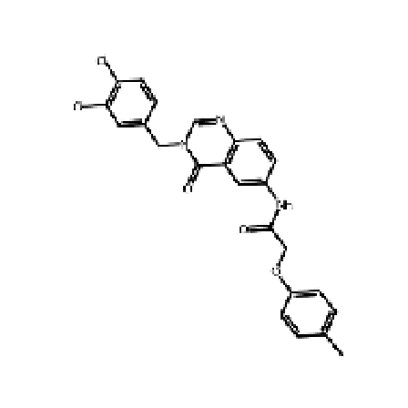 Cc1ccc(OCC(=O)Nc2ccc3ncn(Cc4ccc(Cl)c(Cl)c4)c(=O)c3c2)cc1